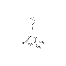 C#C[C@@H](CCCCC)OC(C)(C)C